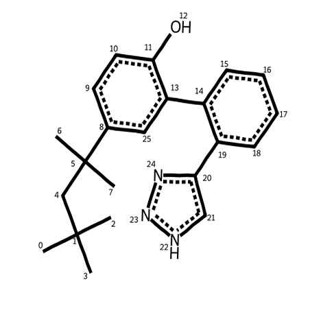 CC(C)(C)CC(C)(C)c1ccc(O)c(-c2ccccc2-c2c[nH]nn2)c1